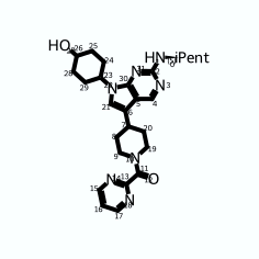 CCC[C@H](C)Nc1ncc2c(C3CCN(C(=O)c4ncccn4)CC3)cn(C3CCC(O)CC3)c2n1